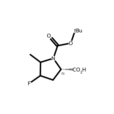 CC1C(F)C[C@@H](C(=O)O)N1C(=O)OC(C)(C)C